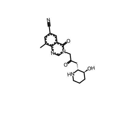 Cc1cc(C#N)cc2c(=O)n(CC(=O)C[C@H]3NCCC[C@@H]3O)cnc12